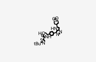 CC(C)(C)c1ncc(C(=O)NC(CO)c2ccc(-c3ncnc4cc(C5=CCS(=O)(=O)CC5)[nH]c34)cc2)s1